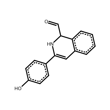 O=CC1NC(c2ccc(O)cc2)=Cc2ccccc21